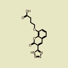 O=C(O)CCCOc1cccc2cc(-c3nnn[nH]3)c(=O)oc12